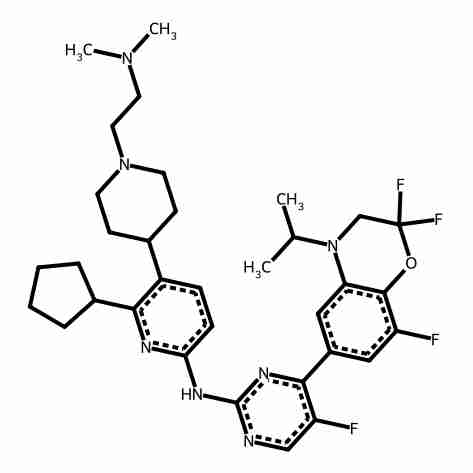 CC(C)N1CC(F)(F)Oc2c(F)cc(-c3nc(Nc4ccc(C5CCN(CCN(C)C)CC5)c(C5CCCC5)n4)ncc3F)cc21